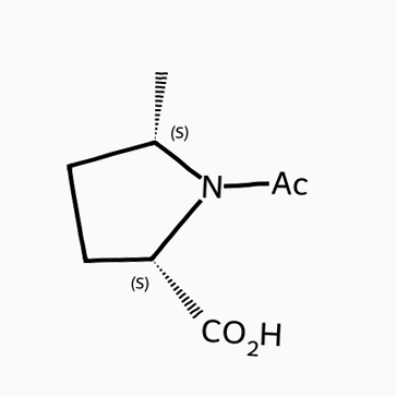 CC(=O)N1[C@@H](C)CC[C@H]1C(=O)O